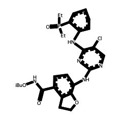 CCP(=O)(CC)c1ccccc1Nc1nc(Nc2ccc(C(=O)NOCC(C)C)c3c2OCC3)ncc1Cl